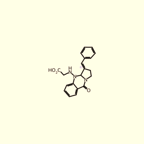 O=C(O)CNN1c2ccccc2C(=O)N2CC/C(=C\c3ccccc3)C21